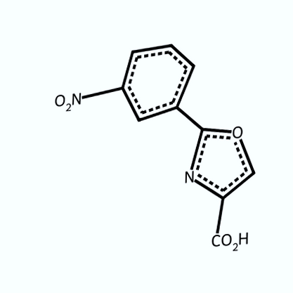 O=C(O)c1coc(-c2cccc([N+](=O)[O-])c2)n1